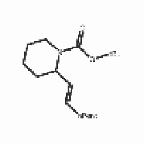 CCCCCC=CC1CCCCN1C(=O)OC(C)(C)C